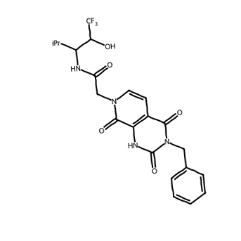 CC(C)C(NC(=O)Cn1ccc2c(=O)n(Cc3ccccc3)c(=O)[nH]c2c1=O)C(O)C(F)(F)F